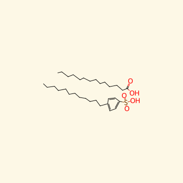 CCCCCCCCCCCCCC(=O)O.CCCCCCCCCCCCc1ccc(S(=O)(=O)O)cc1